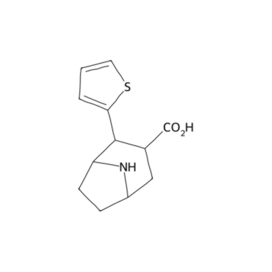 O=C(O)C1CC2CCC(N2)C1c1cccs1